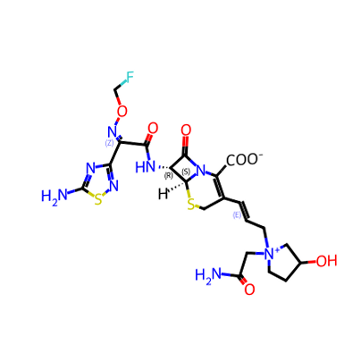 NC(=O)C[N+]1(C/C=C/C2=C(C(=O)[O-])N3C(=O)[C@@H](NC(=O)/C(=N\OCF)c4nsc(N)n4)[C@@H]3SC2)CCC(O)C1